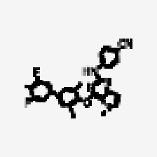 Cc1cc(-c2cc(F)c(C)c(F)c2)cc(C)c1Oc1nc(Nc2ccc(C#N)cc2)nc2ccn(C)c12